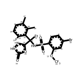 CCC(NS(=O)(=O)c1ccc(Br)cc1OC(F)(F)F)(c1n[nH]c(=O)o1)c1c(F)ccc(C)c1C